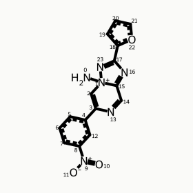 N[N+]12C=C(c3cccc([N+](=O)[O-])c3)N=CC1=NC(c1ccco1)=N2